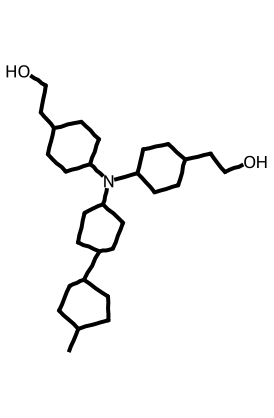 CC1CCC(C2CCC(N(C3CCC(CCO)CC3)C3CCC(CCO)CC3)CC2)CC1